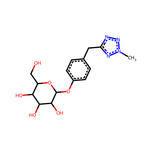 Cn1nnc(Cc2ccc(OC3OC(CO)C(O)C(O)C3O)cc2)n1